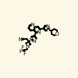 N#CCC1(n2cc(-c3nc(-c4cnn(C5CCOCC5)c4)cc4ncccc34)cn2)CN(CC(F)(F)F)C1